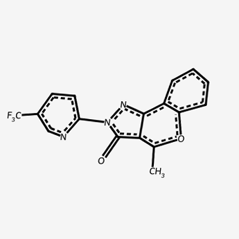 Cc1oc2ccccc2c2nn(-c3ccc(C(F)(F)F)cn3)c(=O)c1-2